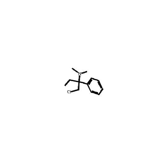 CCC(CCl)(c1ccccc1)N(C)C